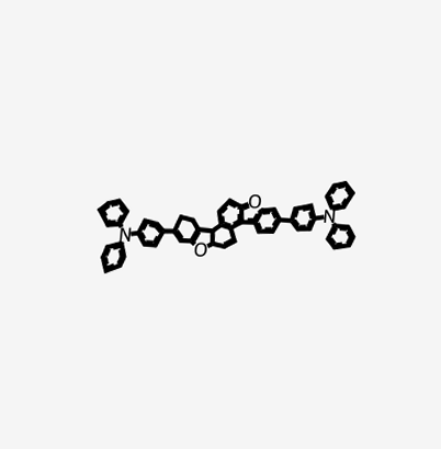 C1=CC2OC3=C(CCC(c4ccc(N(c5ccccc5)c5ccccc5)cc4)=C3)C2c2ccc3oc4cc(-c5ccc(N(c6ccccc6)c6ccccc6)cc5)ccc4c3c21